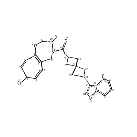 CCC1C=CC2=C(C=C1)OCC(C)N(C(=O)N1CC3(C1)CN(c1noc4cccnc14)C3)C2